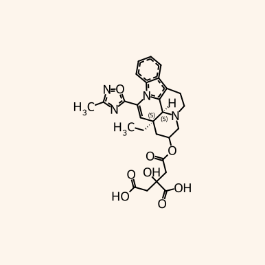 CC[C@@]12C=C(c3nc(C)no3)n3c4c(c5ccccc53)CCN(CC(OC(=O)CC(O)(CC(=O)O)C(=O)O)C1)[C@H]42